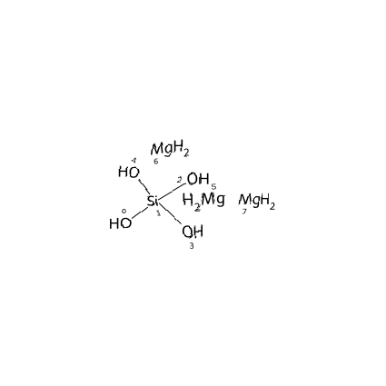 O[Si](O)(O)O.[MgH2].[MgH2].[MgH2]